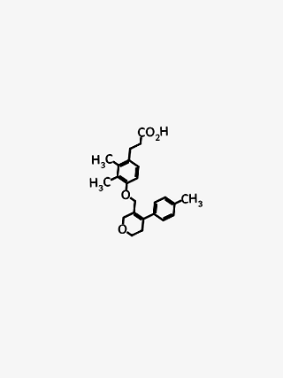 Cc1ccc(C2=C(COc3ccc(CCC(=O)O)c(C)c3C)COCC2)cc1